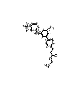 CCOC(=O)CCc1ccc(-c2cc(C)cc(Nc3nccc(C(F)(F)F)n3)c2)nn1